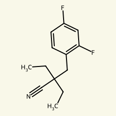 CCC(C#N)(CC)Cc1ccc(F)cc1F